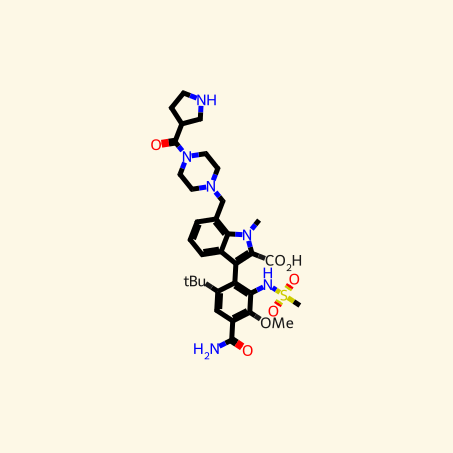 COc1c(C(N)=O)cc(C(C)(C)C)c(-c2c(C(=O)O)n(C)c3c(CN4CCN(C(=O)C5CCNC5)CC4)cccc23)c1NS(C)(=O)=O